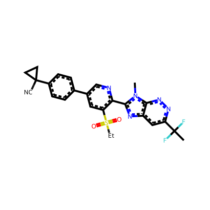 CCS(=O)(=O)c1cc(-c2ccc(C3(C#N)CC3)cc2)cnc1-c1nc2cc(C(C)(F)F)nnc2n1C